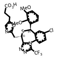 COc1cccc([C@@H]2S[C@@H](Cc3ncc(CCC(=O)O)o3)c3nnc(C(F)(F)F)n3-c3ccc(Cl)cc32)c1OC